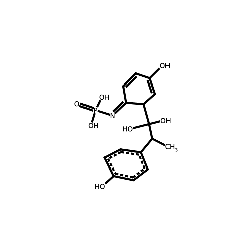 CC(c1ccc(O)cc1)C(O)(O)C1C=C(O)C=CC1=NP(=O)(O)O